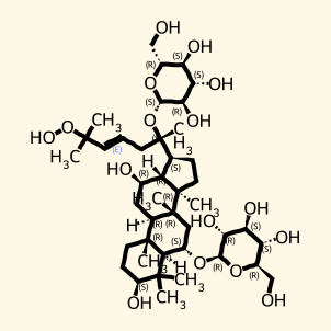 CC(C)(/C=C/C[C@](C)(O[C@@H]1O[C@H](CO)[C@@H](O)[C@H](O)[C@H]1O)[C@H]1CC[C@]2(C)[C@@H]1[C@H](O)C[C@@H]1[C@@]3(C)CC[C@H](O)C(C)(C)[C@@H]3[C@@H](O[C@@H]3O[C@H](CO)[C@@H](O)[C@H](O)[C@H]3O)C[C@]12C)OO